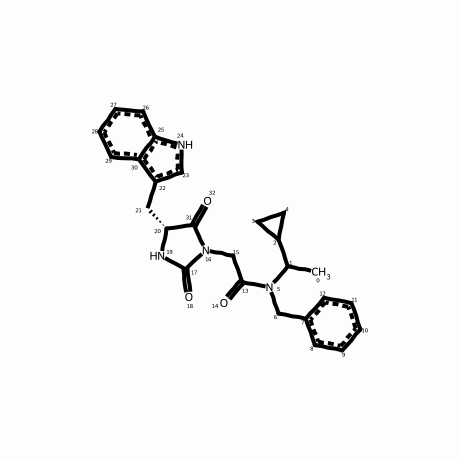 CC(C1CC1)N(Cc1ccccc1)C(=O)CN1C(=O)N[C@H](Cc2c[nH]c3ccccc23)C1=O